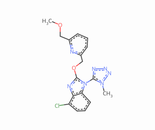 COCc1cccc(COc2nc3c(Cl)cccc3n2-c2nnnn2C)n1